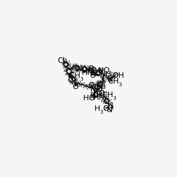 Cc1ncsc1-c1ccc([C@H](C)NC(=O)[C@@H]2C[C@@H](O)CN2C(=O)[C@@H](NC(=O)CCCCCCC(=O)N2CCN(C[C@]3(C)CCC(c4ccc(Cl)cc4)=C(CN4CCN(c5ccc(C(=O)NS(=O)(=O)c6ccc(N[C@H](CCN(C)CCO)CSc7ccccc7)c([N+](=O)[O-])c6)cc5)CC4)C3)CC2)C(C)(C)C)cc1